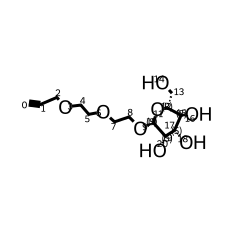 C#CCOCCOCCO[C@H]1O[C@H](CO)[C@@H](O)[C@H](O)[C@@H]1O